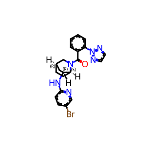 O=C(c1ccccc1-n1nccn1)N1C[C@@H]2CC[C@H]1[C@H](Nc1ccc(Br)cn1)C2